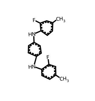 Cc1ccc(Nc2ccc(Nc3ccc(C)cc3F)cc2)c(F)c1